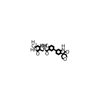 Cc1cc(C)c(CNC(=O)c2[c]c(-c3ccc4c(c3)NC(=O)C43CCOCC3)ccc2C)c(=O)[nH]1